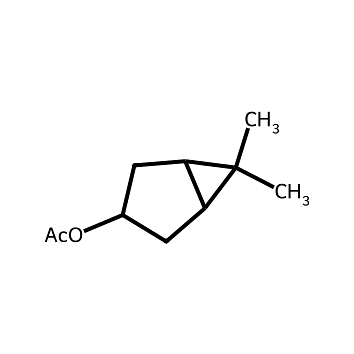 CC(=O)OC1CC2C(C1)C2(C)C